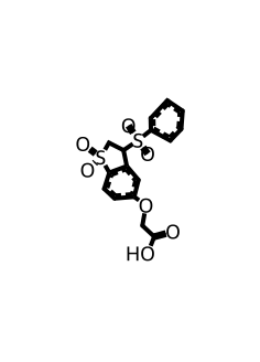 O=C(O)COc1ccc2c(c1)C(S(=O)(=O)c1ccccc1)CS2(=O)=O